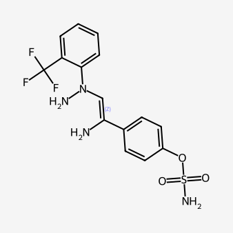 N/C(=C\N(N)c1ccccc1C(F)(F)F)c1ccc(OS(N)(=O)=O)cc1